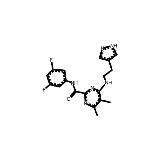 Cc1nc(C(=O)Nc2cc(F)cc(F)c2)nc(NCCc2cn[nH]c2)c1C